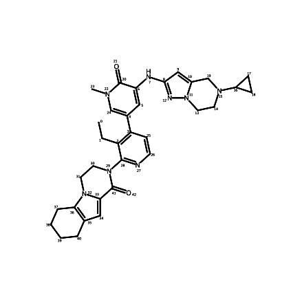 CCc1c(-c2cc(Nc3cc4n(n3)CCN(C3CC3)C4)c(=O)n(C)c2)ccnc1N1CCn2c(cc3c2CCCC3)C1=O